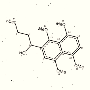 CCCCCCCCCCCCC(O)c1cc(OC)c2c(OC)ccc(OC)c2c1OC